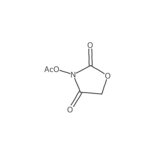 CC(=O)ON1C(=O)COC1=O